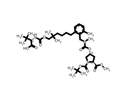 COC(=O)[C@@H]1C[C@@H](OC(=O)N(C)Cc2c(C)cccc2CCCCC(C)(C)COC(=O)N[C@H](C(=O)O)C(C)(C)C)CN1C(=O)OC(C)(C)C